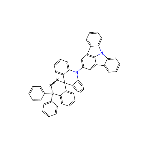 c1ccc([Si]2(c3ccccc3)c3ccccc3C3(c4ccccc4N(c4cc5c6ccccc6n6c7ccccc7c(c4)c56)c4ccccc43)c3ccccc32)cc1